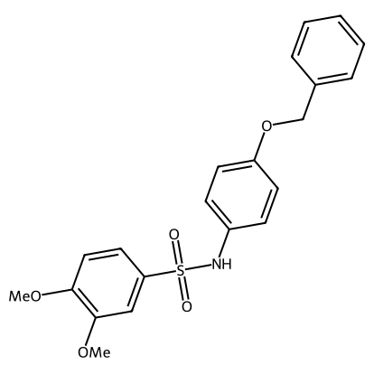 COc1ccc(S(=O)(=O)Nc2ccc(OCc3ccccc3)cc2)cc1OC